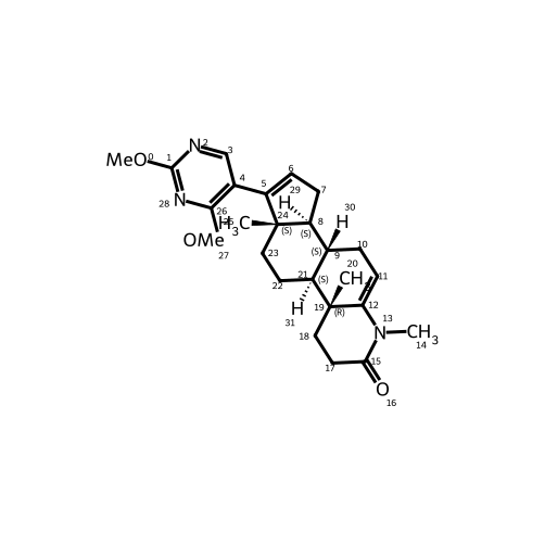 COc1ncc(C2=CC[C@H]3[C@@H]4CC=C5N(C)C(=O)CC[C@]5(C)[C@H]4CC[C@]23C)c(OC)n1